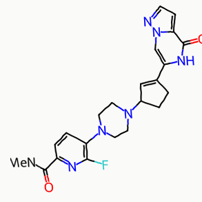 CNC(=O)c1ccc(N2CCN(C3C=C(c4cn5nccc5c(=O)[nH]4)CC3)CC2)c(F)n1